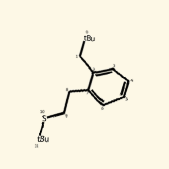 CC(C)(C)Cc1ccccc1CCSC(C)(C)C